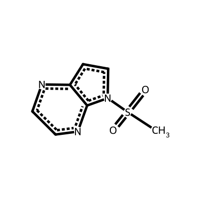 CS(=O)(=O)n1ccc2nccnc21